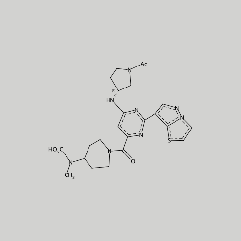 CC(=O)N1CC[C@@H](Nc2cc(C(=O)N3CCC(N(C)C(=O)O)CC3)nc(-c3cnn4ccsc34)n2)C1